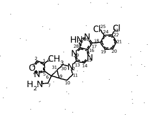 Cc1conc1C1(CN)C2CCN(c3cnc4c(-c5cccc(Cl)c5Cl)n[nH]c4n3)CC21